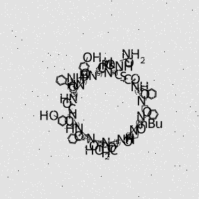 CCCC[C@H]1C(=O)N2CCC[C@@H]2C(=O)N[C@@H](CC(=O)O)C(=O)N[C@@H](C(C)C)C(=O)N(C)[C@@H](Cc2ccccc2)C(=O)N[C@@H](Cc2ccc(O)cc2)C(=O)N(C)CC(=O)N[C@@H](Cc2c[nH]c3ccccc23)C(=O)N[C@@H](Cc2ccc(O)cc2)C(=O)N[C@@H](CC(C)C)C(=O)N[C@H](C(=O)NCC(N)=O)CSCC(=O)N[C@@H](Cc2ccccc2)C(=O)N(C)C(Cc2ccccc2)C(=O)N1C